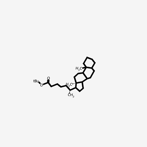 C[C@H](CCCCC(=O)OC(C)(C)C)C1CCC2C3CCC4CCCCC4(C)C3CC[C@@]21C